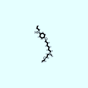 CCCN[C@H]1CC[C@H](OCCCCCCN(C)CCOCC)CC1